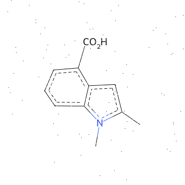 Cc1cc2c(C(=O)O)cccc2n1C